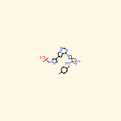 CNCC1(C(=O)NCc2ccc(C)cc2)CN(c2ncnn3cc(-c4cnn(CC(C)(C)O)c4)cc23)C1